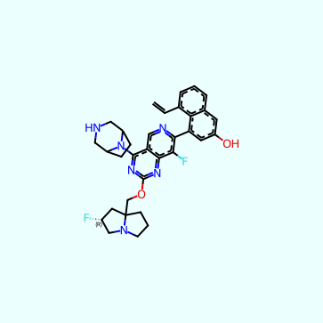 C=Cc1cccc2cc(O)cc(-c3ncc4c(N5C6CCC5CNC6)nc(OCC56CCCN5C[C@H](F)C6)nc4c3F)c12